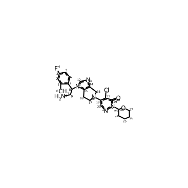 Cc1cc(F)ccc1C(CN)n1cnc2c1CCN(c1cnn(C3CCCCO3)c(=O)c1Cl)C2